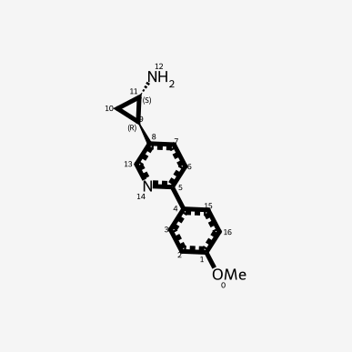 COc1ccc(-c2ccc([C@H]3C[C@@H]3N)cn2)cc1